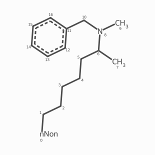 CCCCCCCCCCCCCCC(C)N(C)Cc1ccccc1